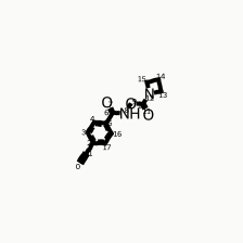 C#Cc1ccc(C(=O)NOC(=O)N2CCC2)cc1